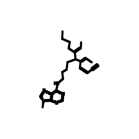 C#C/C=C\C(=C/C)C(CCCCNc1ncnc2c1ncn2C)/C(=C/C)CCCC